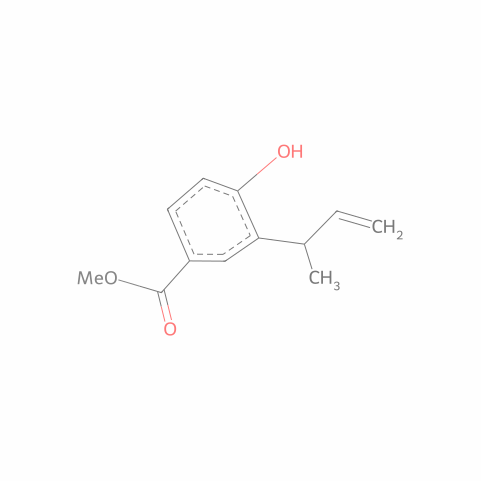 C=CC(C)c1cc(C(=O)OC)ccc1O